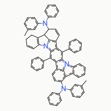 Cc1cccc(N(c2ccccc2)c2ccc3c4c(-c5ccccc5)c5c(c6c7n5C5=C(CCC=C5)C7C(N(c5ccccc5)c5cccc(C)c5)C=C6)c(-c5ccccc5)c4n4c5ccccc5c2c34)c1